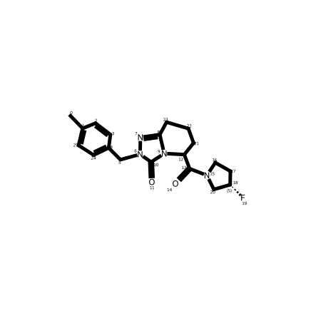 Cc1ccc(Cn2nc3n(c2=O)C(C(=O)N2CC[C@H](F)C2)CCC3)cc1